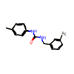 CC(=O)c1cccc(CNC(=O)Nc2ccc(C)cc2)c1